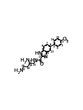 COc1ccc(-c2ccc3[nH]c(C(=O)NC[C@@H](N)CCN)nc3c2)cc1